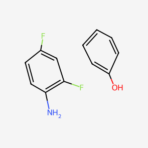 Nc1ccc(F)cc1F.Oc1ccccc1